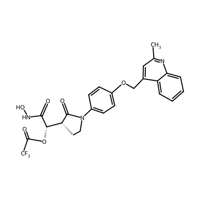 Cc1cc(COc2ccc(N3CC[C@H]([C@H](OC(=O)C(F)(F)F)C(=O)NO)C3=O)cc2)c2ccccc2n1